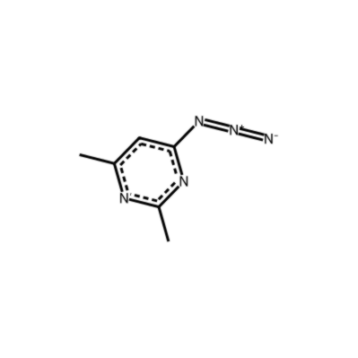 Cc1cc(N=[N+]=[N-])nc(C)n1